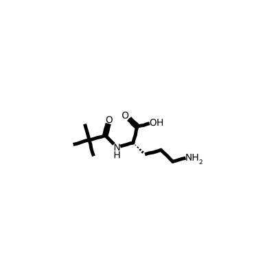 CC(C)(C)C(=O)N[C@@H](CCCN)C(=O)O